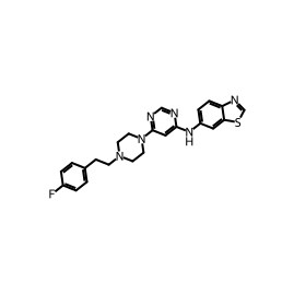 Fc1ccc(CCN2CCN(c3cc(Nc4ccc5ncsc5c4)ncn3)CC2)cc1